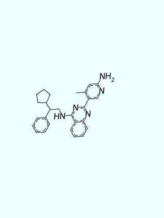 Cc1cc(N)ncc1-c1nc(NCC(c2ccccc2)C2CCCC2)c2ccccc2n1